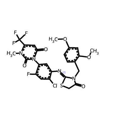 COc1ccc(CN2C(=O)CS/C2=N\c2cc(-n3c(=O)cc(C(F)(F)F)n(C)c3=O)c(F)cc2Cl)c(OC)c1